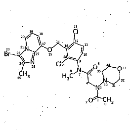 CC(=O)N(CC(=O)N(C)c1ccc(Cl)c(COc2cccn3c(Br)c(C)nc23)c1Cl)N1CCOCC1